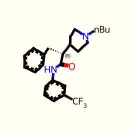 CCCCN1CCC([C@@H](Cc2ccccc2)C(=O)Nc2cccc(C(F)(F)F)c2)CC1